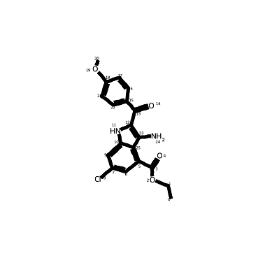 CCOC(=O)c1cc(Cl)cc2[nH]c(C(=O)c3ccc(OC)cc3)c(N)c12